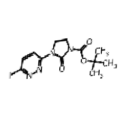 CC(C)(C)OC(=O)N1CCN(c2ccc(I)nn2)C1=O